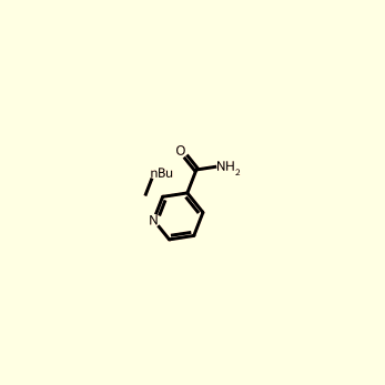 CCCCC.NC(=O)c1cccnc1